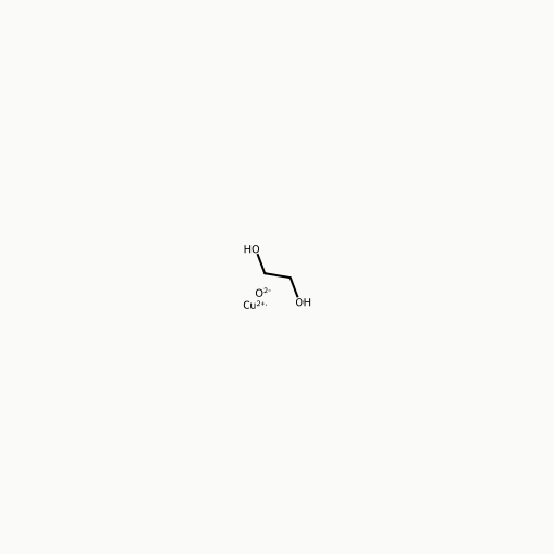 OCCO.[Cu+2].[O-2]